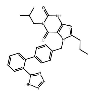 CCCc1nc2[nH]c(=O)n(CC(C)C)c(=O)c2n1Cc1ccc(-c2ccccc2-c2nnn[nH]2)cc1